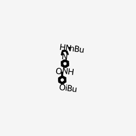 CCCCNC1CCN(c2ccc(NC(=O)c3ccc(OCC(C)C)cc3)cc2)C1